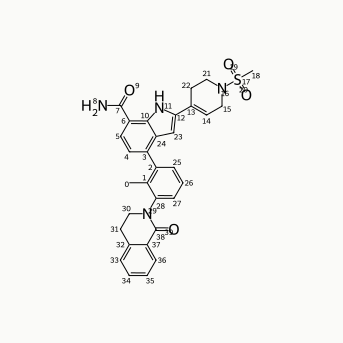 Cc1c(-c2ccc(C(N)=O)c3[nH]c(C4=CCN(S(C)(=O)=O)CC4)cc23)cccc1N1CCc2ccccc2C1=O